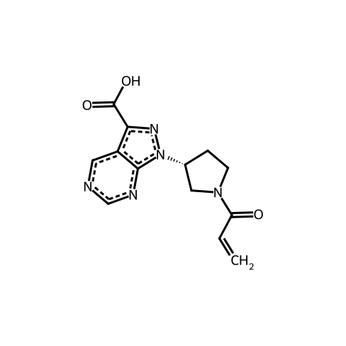 C=CC(=O)N1CC[C@@H](n2nc(C(=O)O)c3cncnc32)C1